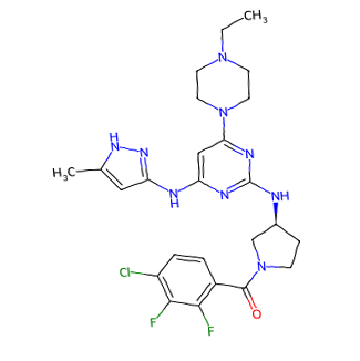 CCN1CCN(c2cc(Nc3cc(C)[nH]n3)nc(N[C@H]3CCN(C(=O)c4ccc(Cl)c(F)c4F)C3)n2)CC1